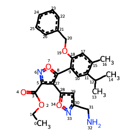 CCOC(=O)c1noc(-c2cc(C(C)C)c(C)cc2OCc2ccccc2)c1-c1cc(CN)no1